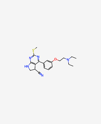 CCN(CC)CCOc1cccc(-c2nc(SC)nc3c2C(C#N)CN3)c1